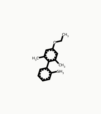 CCOc1cc(C)c(-c2ccccc2[SiH3])c(C)c1